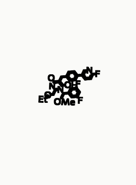 CCOCc1nc(=O)c(Cc2ccc(-c3ccc(F)nc3)cc2)c(O)n1C(COC)c1cc(F)cc(F)c1